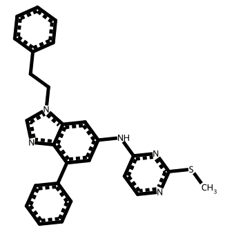 CSc1nccc(Nc2cc(-c3ccccc3)c3ncn(CCc4ccccc4)c3c2)n1